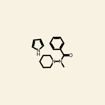 CN(C(=O)c1ccccc1)N1CCCCC1.c1cc[nH]c1